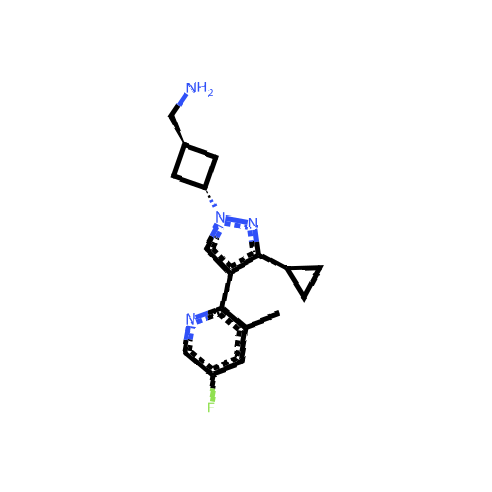 Cc1cc(F)cnc1-c1cn([C@H]2C[C@H](CN)C2)nc1C1CC1